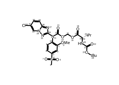 COc1cc(S(C)(=O)=O)ccc1N(C(=O)OCOC(=O)[C@@H](NC(=O)OC(C)(C)C)C(C)C)c1nc2ccc(Cl)cn2n1